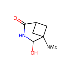 CNC12CC(C1)C(=O)NC2O